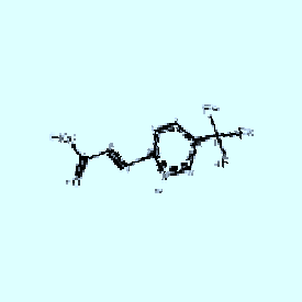 O=C(O)C=Cc1ccc(C(F)(F)F)cn1